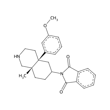 COc1cccc([C@]23CCNC[C@@]2(C)CCC(N2C(=O)c4ccccc4C2=O)C3)c1